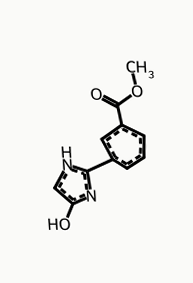 COC(=O)c1cccc(-c2nc(O)c[nH]2)c1